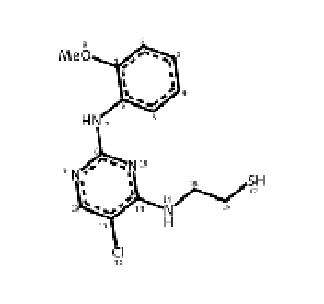 COc1ccccc1Nc1ncc(Cl)c(NCCS)n1